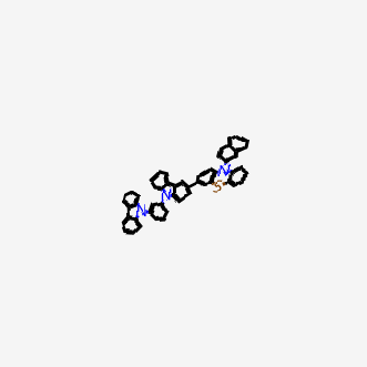 c1cc(-n2c3ccccc3c3ccccc32)cc(-n2c3ccccc3c3cc(-c4ccc5c(c4)Sc4ccccc4N5c4ccc5ccccc5c4)ccc32)c1